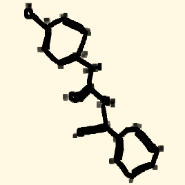 O=C(NC(=O)c1ccccc1)Nc1ccc(Cl)cc1